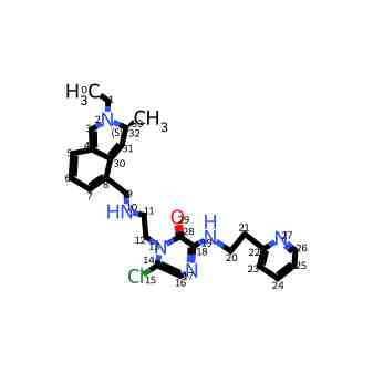 CCN1C=c2cccc(CNCCn3c(Cl)cnc(NCCc4ccccn4)c3=O)c2=C[C@@H]1C